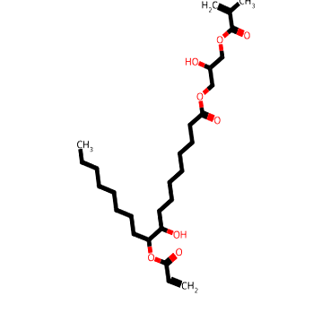 C=CC(=O)OC(CCCCCCCC)C(O)CCCCCCCC(=O)OCC(O)COC(=O)C(=C)C